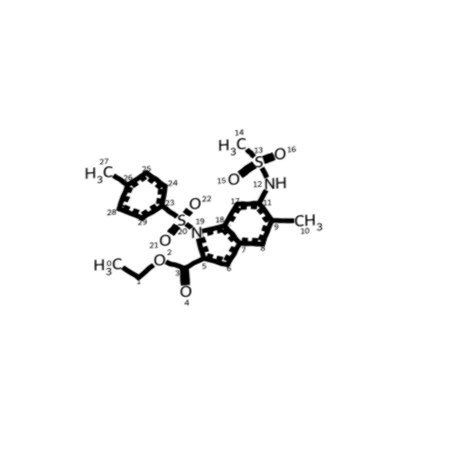 CCOC(=O)c1cc2cc(C)c(NS(C)(=O)=O)cc2n1S(=O)(=O)c1ccc(C)cc1